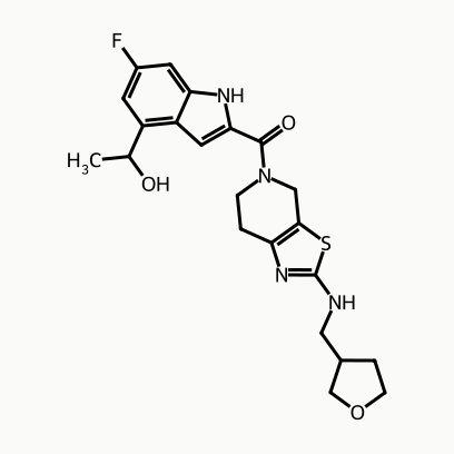 CC(O)c1cc(F)cc2[nH]c(C(=O)N3CCc4nc(NCC5CCOC5)sc4C3)cc12